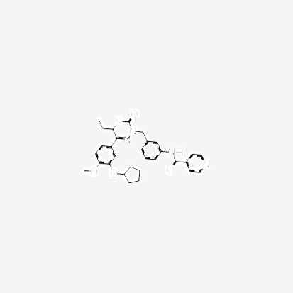 CCC1SC(=O)N(Cc2cccc(NC(=O)c3ccncc3)c2)N=C1c1ccc(OC)c(OC2CCCC2)c1